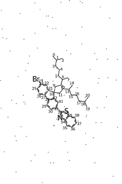 CC(C)CCCC(C)CCC1(CCC(C)CCCC(C)C)c2cc(Br)ccc2-c2ccc(-c3nc4ccccc4s3)cc21